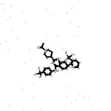 CC(=O)N1CCC(c2nc(Nc3ccc(C(F)(F)F)cc3)c3ccc(-c4ncccc4C(F)(F)F)cc3n2)CC1